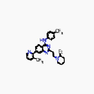 CCC1CCCCN1CCc1nc(Nc2ccc(C(F)(F)F)cc2)c2ccc(-c3ncccc3C(F)(F)F)cc2n1